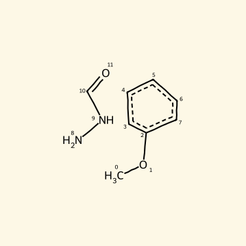 COc1ccccc1.NNC=O